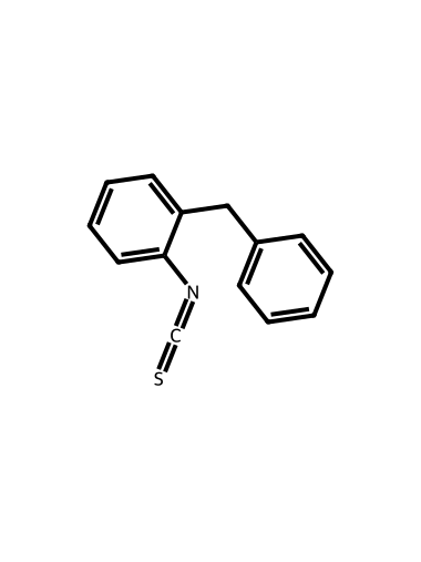 S=C=Nc1ccccc1Cc1ccccc1